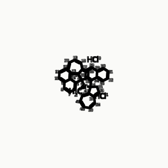 Cl.Cl.[CH2]=[Zr]([C]1(c2cccc3ccccc23)CC=C2C=CC=CC=C21)[C]1(c2cccc3ccccc23)CC=C2C=CC=CC=C21